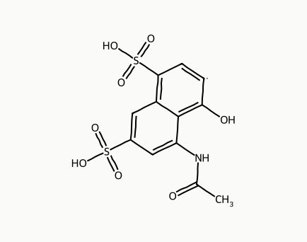 CC(=O)Nc1cc(S(=O)(=O)O)cc2c(S(=O)(=O)O)c[c]c(O)c12